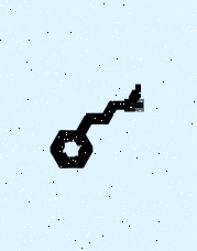 INCC=Cc1ccccc1